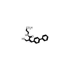 O=C(O)CCNC(=O)/C(=C\c1ccc(-c2ccccc2)cc1)CS